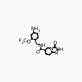 Nc1ccc(CNC(=O)c2ccc3n[nH]c(=O)n3c2)c(OC(F)(F)F)c1